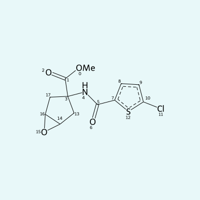 COC(=O)C1(NC(=O)c2ccc(Cl)s2)CC2OC2C1